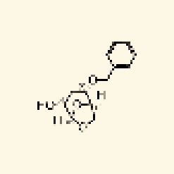 O[C@@H]1C[C@H](OCc2ccccc2)[C@H]2CO[C@@H]1O2